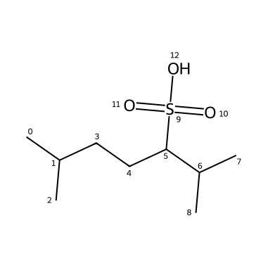 CC(C)CCC(C(C)C)S(=O)(=O)O